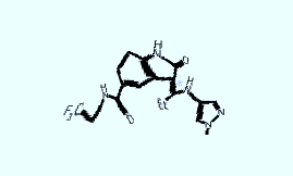 CC/C(Nc1cnn(C)c1)=C1/C(=O)Nc2ccc(C(=O)NCC(F)(F)F)cc21